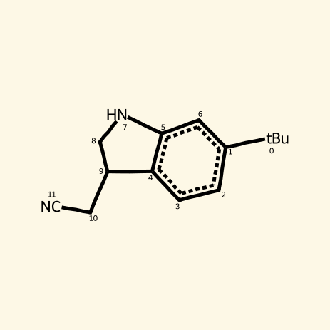 CC(C)(C)c1ccc2c(c1)NCC2CC#N